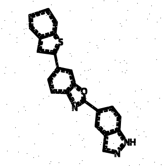 c1ccc2sc(-c3ccc4nc(-c5ccc6[nH]ncc6c5)oc4c3)cc2c1